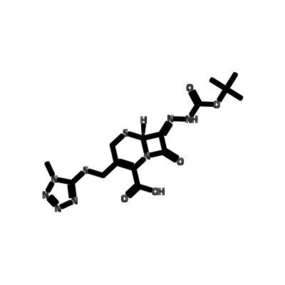 Cn1nnnc1SCC1=C(C(=O)O)N2C(=O)/C(=N\NC(=O)OC(C)(C)C)[C@H]2SC1